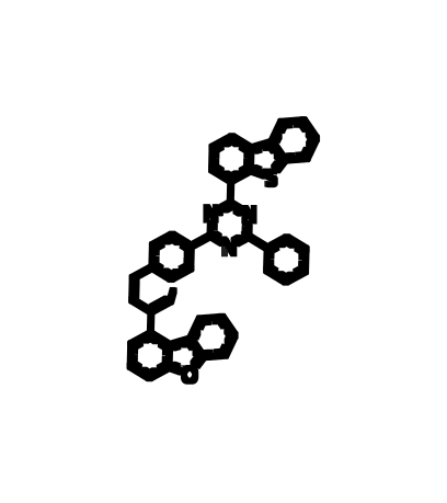 C/C=C(\C=C/c1ccc(-c2nc(-c3ccccc3)nc(-c3cccc4c3sc3ccccc34)n2)cc1)c1cccc2oc3ccccc3c12